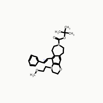 COCCN1CCOc2cc3c(c(/C=C/c4ccccc4)c21)CCN(C(=O)OC(C)(C)C)CC3